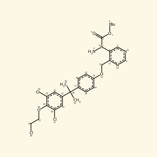 CC(C)(C)OC(=O)N(N)c1cncnc1COc1ccc(C(C)(C)c2cc(Cl)c(OCCCl)c(Cl)c2)cc1